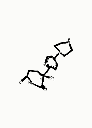 C[C@]1(c2ccc(N3CCNCC3)cn2)CCC(=O)NC1=O